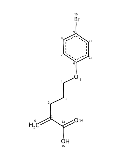 C=C(CCCOc1ccc(Br)cc1)C(=O)O